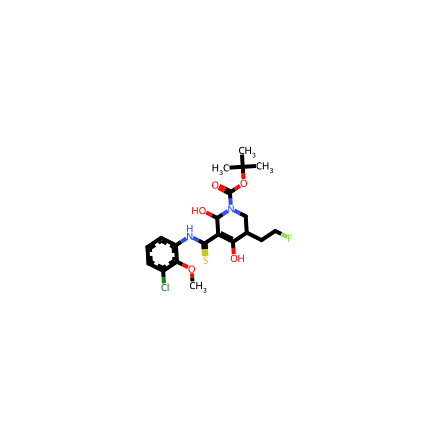 COc1c(Cl)cccc1NC(=S)C1=C(O)C(CCF)CN(C(=O)OC(C)(C)C)C1O